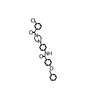 O=C(Nc1ccc(N2CCN(C(=O)c3cccc(Cl)c3)CC2)cc1)c1ccc(OCc2ccccc2)cc1